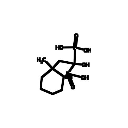 CC1(CC(O)(P(=O)(O)O)P(=O)(O)O)CCCCC1